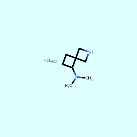 CN(C)C1CCC12CNC2.Cl.Cl